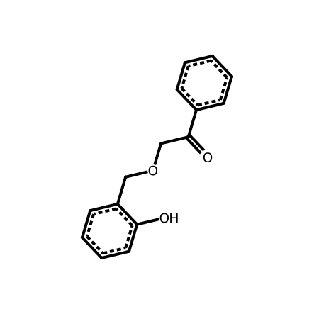 O=C(COCc1ccccc1O)c1ccccc1